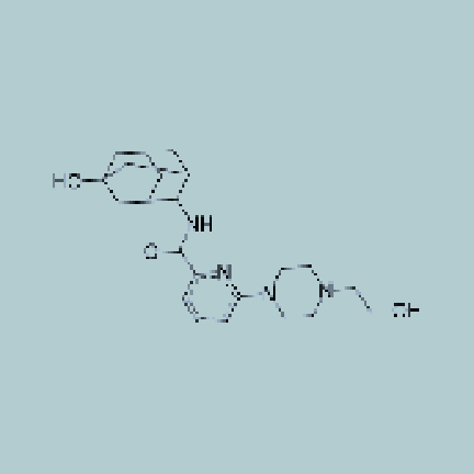 O=C(NC1C2CC3CC1CC(O)(C3)C2)c1cccc(N2CCN(CCO)CC2)n1